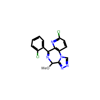 COC1N=C(c2ccccc2Cl)c2nc(Cl)ccc2-n2cnnc21